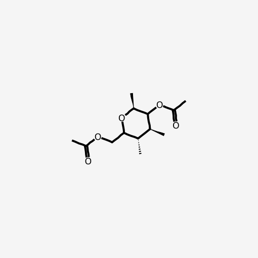 CC(=O)OCC1O[C@@H](C)C(OC(C)=O)[C@@H](C)[C@@H]1C